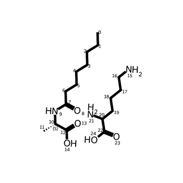 CCCCCCCC(=O)N[C@@H](C)C(=O)O.NCCCCC(N)C(=O)O